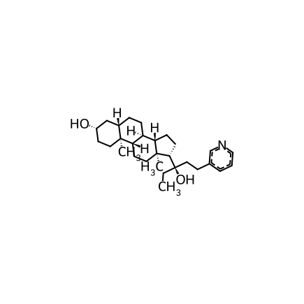 CC[C@@](O)(CCc1cccnc1)[C@H]1CC[C@H]2[C@@H]3CC[C@H]4C[C@@H](O)CC[C@]4(C)[C@H]3CC[C@]12C